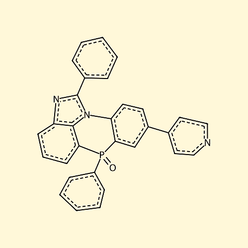 O=P1(c2ccccc2)c2cc(-c3ccncc3)ccc2-n2c(-c3ccccc3)nc3cccc1c32